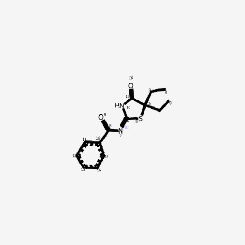 CCC1(CC)S/C(=N/C(=O)c2ccccc2)NC1=O